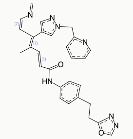 C=N\C=C/C(=C(C)/C=C/C(=O)Nc1ccc(CCc2nnco2)cc1)c1cnn(Cc2ccccn2)c1